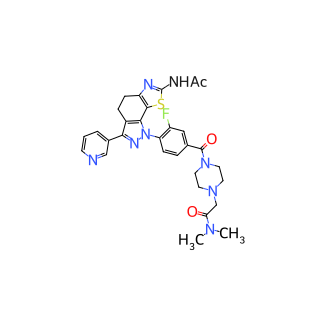 CC(=O)Nc1nc2c(s1)-c1c(c(-c3cccnc3)nn1-c1ccc(C(=O)N3CCN(CC(=O)N(C)C)CC3)cc1F)CC2